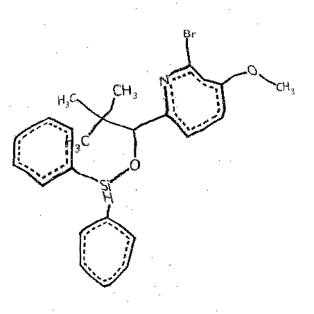 COc1ccc(C(O[SiH](c2ccccc2)c2ccccc2)C(C)(C)C)nc1Br